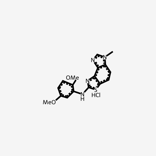 COc1ccc(OC)c(Nc2nc3c(ccc4c3ncn4C)s2)c1.Cl